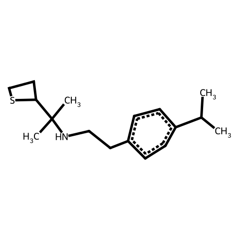 CC(C)c1ccc(CCNC(C)(C)C2CCS2)cc1